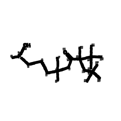 CP(O)CCCC(C)(C)CC(=O)C(C)(CC(C)(C)C)C(C)(C)C